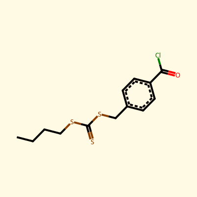 CCCCSC(=S)SCc1ccc(C(=O)Cl)cc1